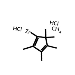 C.CC1=C(C)C(C)(C)[C]([Zr])=C1C.Cl.Cl